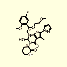 COCCO[C@@H](CN1c2sc(-n3cccn3)c(C)c2C(=O)N([C@@H]2CCCNC2=O)C1O)c1cc(F)ccc1OC